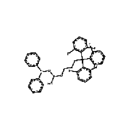 OB(OCCCC(c1c(F)cccc1F)(c1c(F)cccc1F)c1c(F)cccc1F)O[I+](c1ccccc1)c1ccccc1